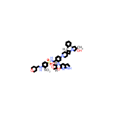 Cc1ccccc1[C@@H]1CC(C)(O)CN1C1CC2(CCN(c3ccc(C(=O)NS(=O)(=O)c4ccc(NCC5CCOCC5)c([N+](=O)[O-])c4)c(N4c5cc6cc[nH]c6nc5O[C@@H]5COC[C@H]54)c3)CC2)C1